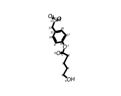 O=C(CCCCO)Oc1ccc(C[SH](=O)=O)cc1